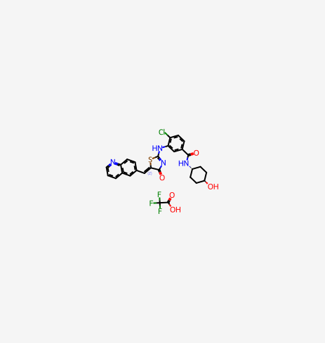 O=C(O)C(F)(F)F.O=C1N=C(Nc2cc(C(=O)N[C@H]3CC[C@H](O)CC3)ccc2Cl)S/C1=C\c1ccc2ncccc2c1